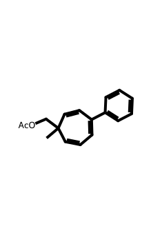 CC(=O)OCC1(C)C=CC=C(c2ccccc2)C=C1